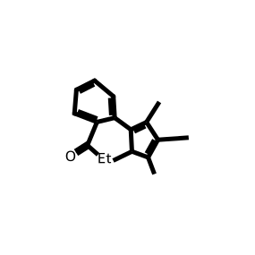 CCC(=O)c1ccccc1C1=C(C)C(C)=C(C)C1C